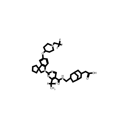 CC(F)(F)c1nc(N2CC3(CCCC3)c3cc(OC4CCN(CC(F)(F)F)CC4)ccc32)ncc1C(=O)NCC1CC2CC(CC(=O)O)CC(C1)C2